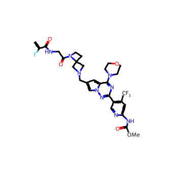 C=C(F)C(=O)NCC(=O)N1CCC12CN(Cc1cc3c(N4CCOCC4)nc(-c4cnc(NC(=O)OC)cc4C(F)(F)F)nn3c1)C2